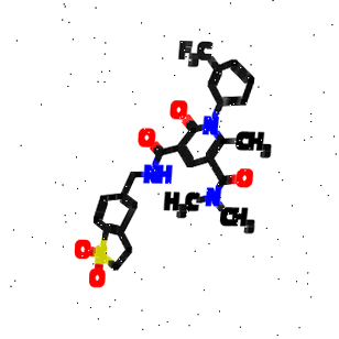 Cc1c(C(=O)N(C)C)cc(C(=O)NCc2ccc3c(c2)CCS3(=O)=O)c(=O)n1-c1cccc(C(F)(F)F)c1